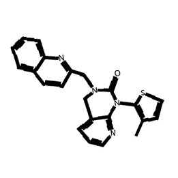 Cc1ccsc1N1C(=O)N(Cc2ccc3ccccc3n2)Cc2cccnc21